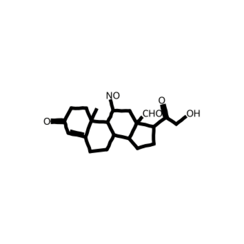 CC12CCC(=O)C=C1CCC1C2C(N=O)CC2(C=O)C(C(=O)CO)CCC12